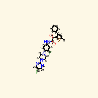 Cc1cc(-c2ccccc2)c(C(=O)C(=O)Nc2ccc(N3CCN(c4ncc(F)cn4)CC3)c(F)c2)s1